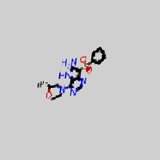 CC(C)C1CN(c2ncnc3c(S(=O)(=O)c4ccccc4)c(N)[nH]c23)CCO1